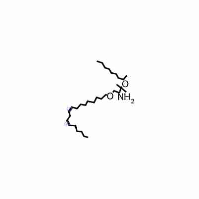 CCCCC/C=C\C/C=C\CCCCCCCCOCC(N)C(C)(C)OC(C)CCCCCCC